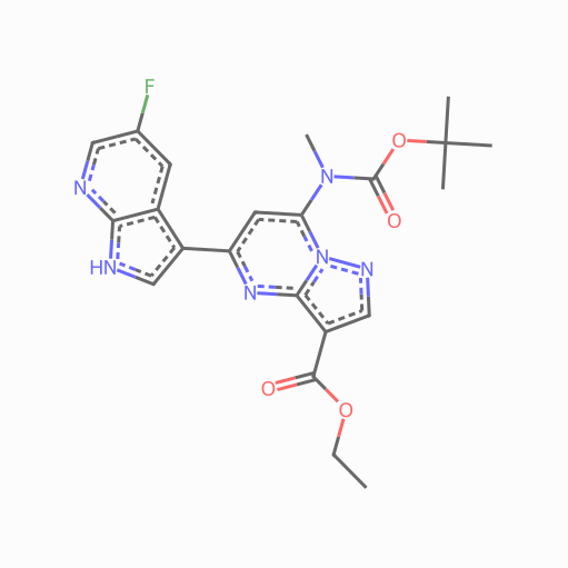 CCOC(=O)c1cnn2c(N(C)C(=O)OC(C)(C)C)cc(-c3c[nH]c4ncc(F)cc34)nc12